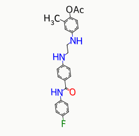 CC(=O)Oc1ccc(NCCNc2ccc(C(=O)Nc3ccc(F)cc3)cc2)cc1C